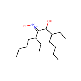 CCCCC(CC)/C(=N\O)C(O)C(CC)CCCC